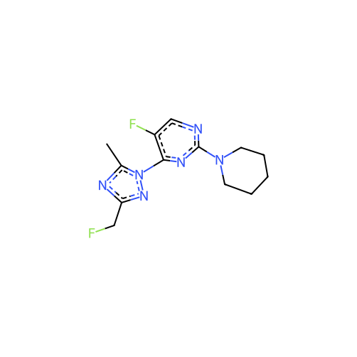 Cc1nc(CF)nn1-c1nc(N2CCCCC2)ncc1F